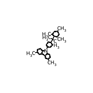 Cc1cc(C)c(C(C)(C)c2ccc(-n3c4ccc(C)cc4c4cc(C)ccc43)cc2)c(C)c1